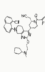 C=C(F)C(=O)N1CCC(c2nc(OCCN(C)C3CCCC3)nc3c2CCN(c2cccc4cccc(Cl)c24)C3)CC1CC#N